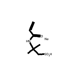 C=CC(=O)NC(C)(C)CS(=O)(=O)O.[Na]